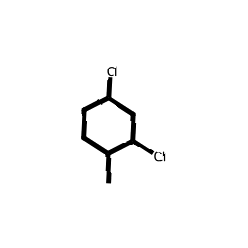 CC1CCC(Cl)CC1Cl